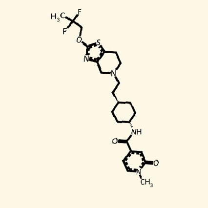 Cn1ccc(C(=O)N[C@H]2CC[C@H](CCN3CCc4sc(OCC(C)(F)F)nc4C3)CC2)cc1=O